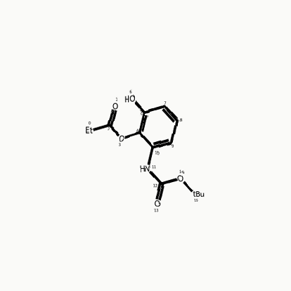 CCC(=O)Oc1c(O)cccc1NC(=O)OC(C)(C)C